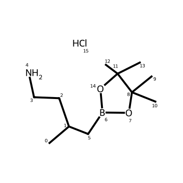 CC(CCN)CB1OC(C)(C)C(C)(C)O1.Cl